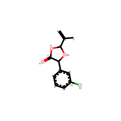 C=C(C)C1OC(=O)C(c2cccc(Cl)c2)O1